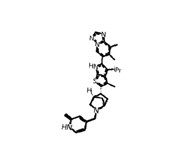 C=C1C=C(CN2C[C@@H]3CC2C[C@H]3c2sc3[nH]c(-c4cn5ncnc5c(C)c4C)c(C(C)C)c3c2C)C=CN1